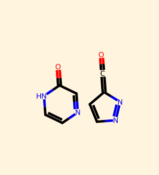 O=C=C1C=CN=N1.O=c1cncc[nH]1